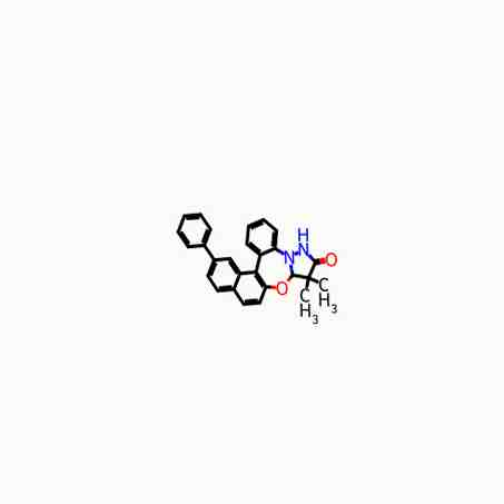 CC1(C)C(=O)NN2c3ccccc3-c3c(ccc4ccc(-c5ccccc5)cc34)OC21